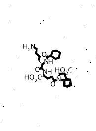 NCCCC[C@H](NC(=O)C1CCCCC1)C(=O)N[C@H](CCC(=O)N1c2ccccc2C[C@H]1C(=O)O)C(=O)O